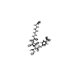 C=C(CCl)C(C(=O)OCc1ccc([N+](=O)[O-])cc1)N1C(=O)C(NC(=O)CCCCCCCC#N)C1Cl